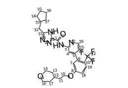 O=C(Nc1cc(-c2cc(OCCC3CCOCC3)ccc2C(F)(F)F)ccn1)c1nnc(CC2CCCC2)[nH]1